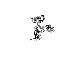 CC(C)(C)C1(CONC(=O)[C@@H]2CC[C@@H]3CN2C(=O)N3OS(=O)(=O)O)CCCCN1C(=O)[O-].CCCC[N+](CCCC)(CCCC)CCCC